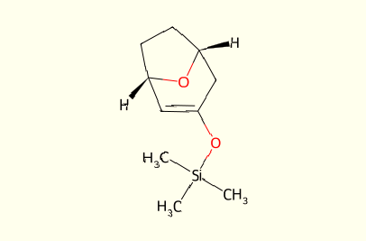 C[Si](C)(C)OC1=C[C@@H]2CC[C@H](C1)O2